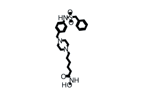 O=C(CCCCCN1CCN(Cc2ccc(NS(=O)(=O)Cc3ccccc3)cc2)CC1)NO